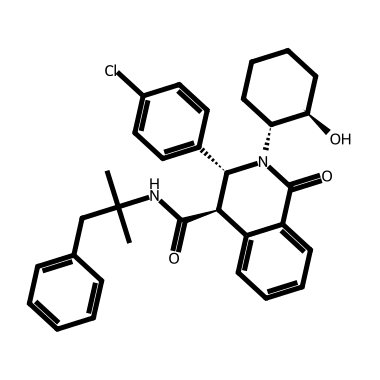 CC(C)(Cc1ccccc1)NC(=O)[C@@H]1c2ccccc2C(=O)N([C@@H]2CCCC[C@H]2O)[C@H]1c1ccc(Cl)cc1